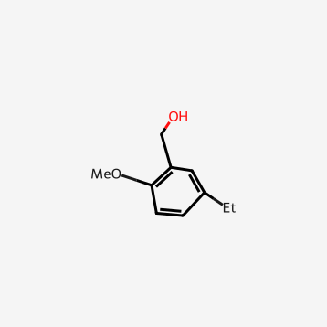 CCc1ccc(OC)c(CO)c1